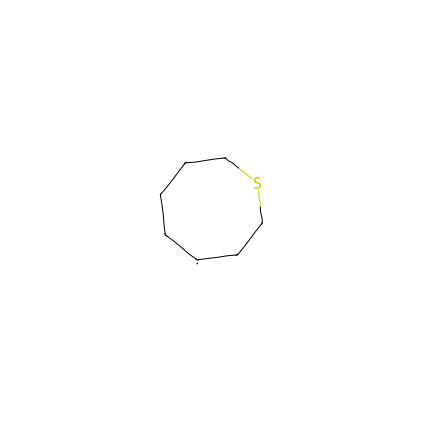 [CH]1CCCCSCC1